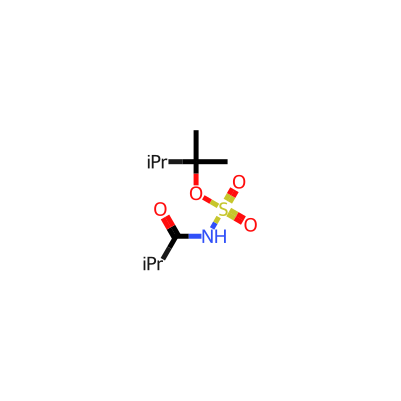 CC(C)C(=O)NS(=O)(=O)OC(C)(C)C(C)C